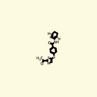 CC(=O)c1ncc(Sc2ccc(C(=O)N[C@@H]3C[C@H]4CC[C@@H]3N4)cc2)s1